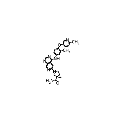 Cc1ccc(Oc2ccc(Nc3ncnc4cnc(N5CC6[CH]C6(C(N)=O)C5)cc34)cc2C)cn1